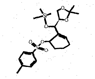 Cc1ccc(S(=O)(=O)OC2CCCC=C2C(O[Si](C)(C)C)[C@H]2COC(C)(C)O2)cc1